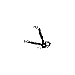 C#CC#CC#CC#Cc1c(C(C)(C)C)cc2c(c1C#CC#CC#CC#CC)OCCCO2